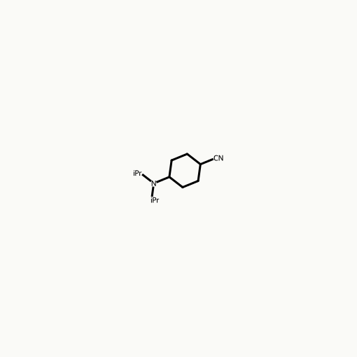 CC(C)N(C(C)C)C1CCC(C#N)CC1